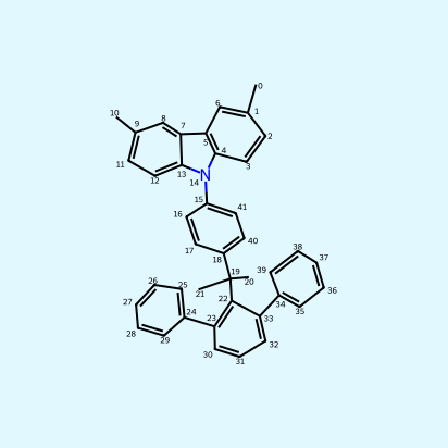 Cc1ccc2c(c1)c1cc(C)ccc1n2-c1ccc(C(C)(C)c2c(-c3ccccc3)cccc2-c2ccccc2)cc1